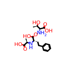 C[C@@H](N[C@@H](CCc1ccccc1)C(=O)O)C(=O)O.C[C@@H](O)[C@H](N)C(=O)O